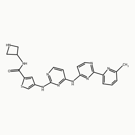 Cc1cccc(-c2nccc(Nc3ccnc(Nc4csc(C(=O)NC5CNC5)c4)n3)n2)n1